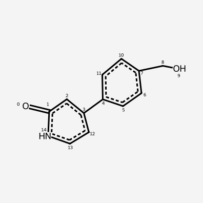 O=c1cc(-c2ccc(CO)cc2)cc[nH]1